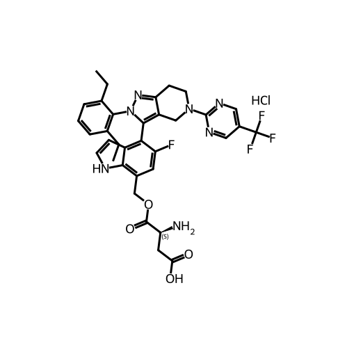 CCc1cccc(CC)c1-n1nc2c(c1-c1c(F)cc(COC(=O)[C@@H](N)CC(=O)O)c3[nH]ccc13)CN(c1ncc(C(F)(F)F)cn1)CC2.Cl